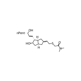 CCCCC[C@H](O)/C=C/[C@@H]1[C@H]2CC(=CCSCC(=O)N(C)C)C[C@H]2C[C@H]1O